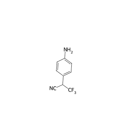 N#CC(c1ccc(N)cc1)C(F)(F)F